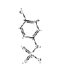 CCS(=O)(=O)Oc1ccc(Cl)nc1